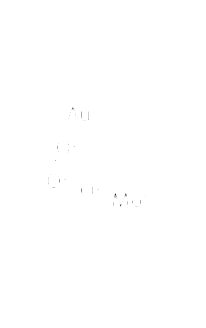 [Au].[Mo+6].[O-2].[O-2].[O-2]